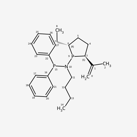 C=C(C)[C@@H]1CC[C@@H](CC)P1N(CCCC)P(c1ccccc1)c1ccccc1